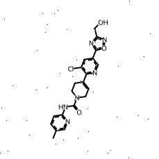 Cc1ccc(NC(=O)N2CC=C(c3ncc(-c4nc(CO)no4)cc3Cl)CC2)nc1